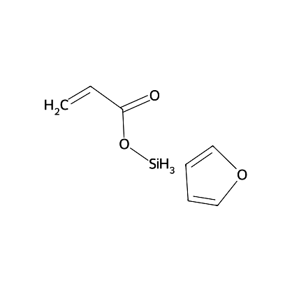 C=CC(=O)O[SiH3].c1ccoc1